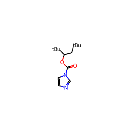 CC(C)(C)CC(OC(=O)n1ccnc1)C(C)(C)C